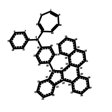 C1=CCC=C(N(c2ccccc2)c2ccc(-n3c4ccccc4c4c5ccccc5c5ccc6ccccc6c5c43)cc2)C=C1